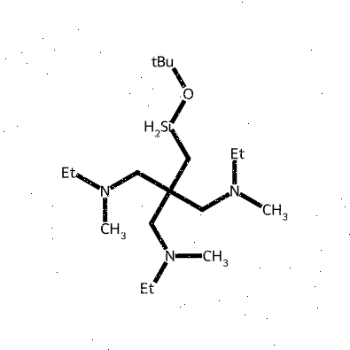 CCN(C)CC(C[SiH2]OC(C)(C)C)(CN(C)CC)CN(C)CC